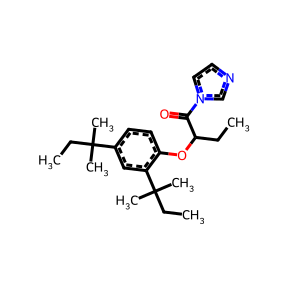 CCC(Oc1ccc(C(C)(C)CC)cc1C(C)(C)CC)C(=O)n1ccnc1